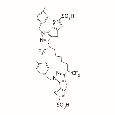 Cc1ccc(Cn2nc(C(CCCCCC(c3nn(Cc4ccc(C)cc4)c4c3Cc3cc(S(=O)(=O)O)sc3-4)C(F)(F)F)C(F)(F)F)c3c2-c2sc(S(=O)(=O)O)cc2C3)cc1